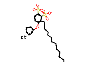 CCCCCCCCCCCCc1c(Oc2ccccc2)ccc(S(=O)(=O)[O-])c1S(=O)(=O)[O-].[K+].[K+]